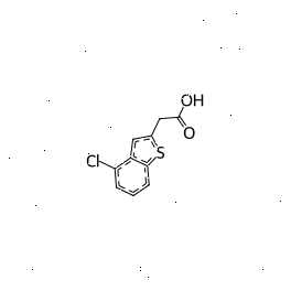 O=C(O)Cc1cc2c(Cl)cccc2s1